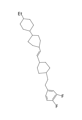 CCC1CCC(C2CCC(/C=C/C3CCC(CCc4ccc(F)c(F)c4)CC3)CC2)CC1